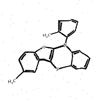 Cc1ccc2oc3c(c2c1)Sc1ccccc1N3c1ccccc1C